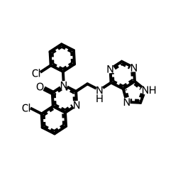 O=c1c2c(Cl)cccc2nc(CNc2ncnc3[nH]cnc23)n1-c1ccccc1Cl